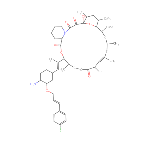 CCC1/C=C(\C)CC(C)CC(OC)C2OC(O)(C(=O)C(=O)N3CCCCC3C(=O)OC(C(C)=CC3CCC(N)C(OCC=Cc4ccc(F)cc4)C3)C(C)CCC1=O)C(C)CC2OC